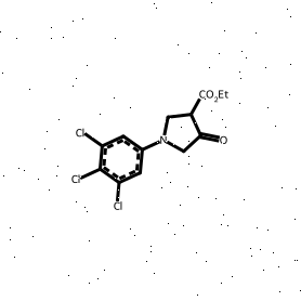 CCOC(=O)C1CN(c2cc(Cl)c(Cl)c(Cl)c2)CC1=O